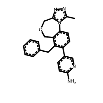 Cc1nnc2n1-c1ccc(-c3ccc(N)nc3)c(Cc3ccccc3)c1COC2